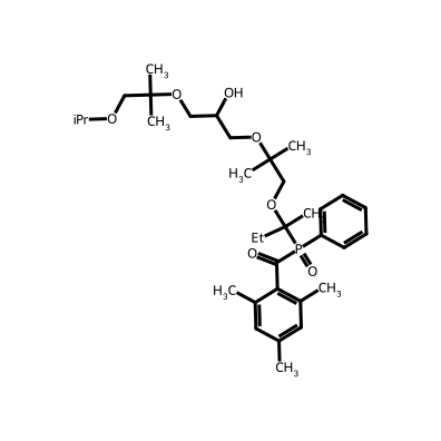 CCC(C)(OCC(C)(C)OCC(O)COC(C)(C)COC(C)C)P(=O)(C(=O)c1c(C)cc(C)cc1C)c1ccccc1